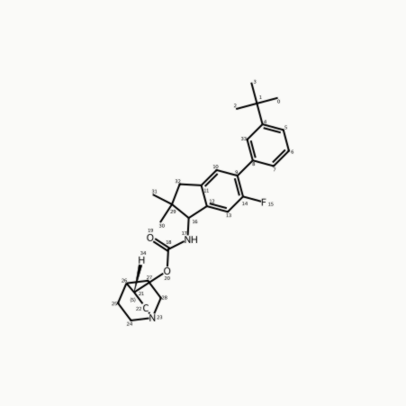 CC(C)(C)c1cccc(-c2cc3c(cc2F)C(NC(=O)O[C@@H]2CN4CCC2CC4)C(C)(C)C3)c1